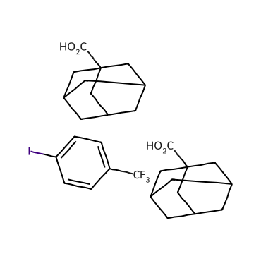 FC(F)(F)c1ccc(I)cc1.O=C(O)C12CC3CC(CC(C3)C1)C2.O=C(O)C12CC3CC(CC(C3)C1)C2